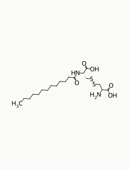 CCCCCCCCCCCCC(=O)N[C@@H](CSSCC(N)C(=O)O)C(=O)O